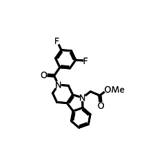 COC(=O)Cn1c2c(c3ccccc31)CCN(C(=O)c1cc(F)cc(F)c1)C2